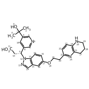 CC(C)(O)c1cncc([C@@H](CC(=O)O)n2ncc3cc(OCCc4ccc5c(n4)CCCN5)ccc32)c1